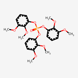 COc1cccc(OP(=O)(Oc2cccc(OC)c2OC)Oc2cccc(OC)c2OC)c1OC